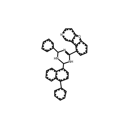 c1ccc(-c2ccc(C3NC(c4cccc5oc6ccncc6c45)=NC(c4ccccc4)N3)c3ccccc23)cc1